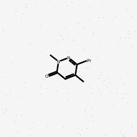 Cc1cc(=O)n(C)nc1C(C)C